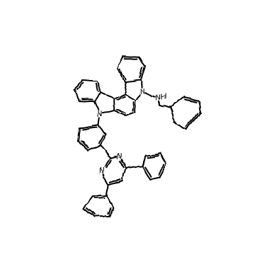 C1=CCC(CNn2c3ccccc3c3c4c5ccccc5n(-c5cccc(-c6nc(-c7ccccc7)cc(-c7ccccc7)n6)c5)c4ccc32)C=C1